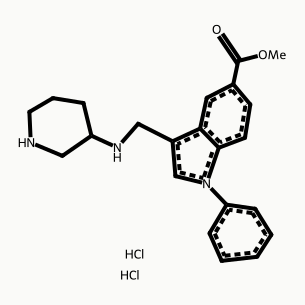 COC(=O)c1ccc2c(c1)c(CNC1CCCNC1)cn2-c1ccccc1.Cl.Cl